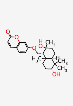 CC1(C)[C@H](O)CC[C@]2(C)[C@@H](COc3ccc4ccc(=O)oc4c3)[C@](C)(O)CC[C@@H]12